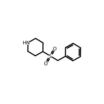 O=S(=O)(Cc1ccccc1)C1CCNCC1